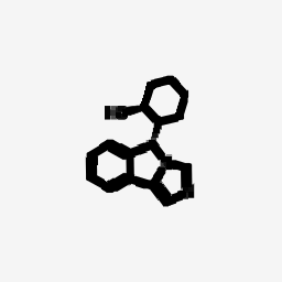 O[C@H]1CCCCC1[C@H]1c2ccccc2-c2cncn21